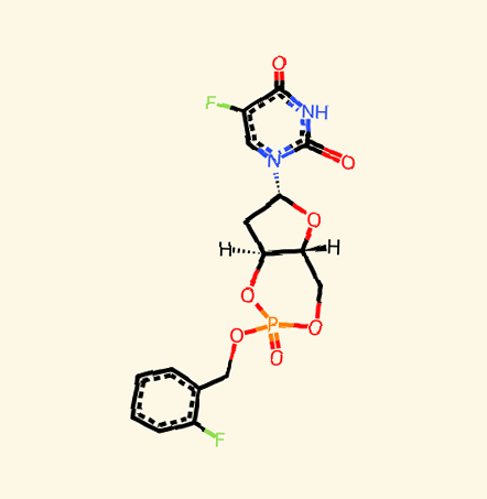 O=c1[nH]c(=O)n([C@H]2C[C@@H]3OP(=O)(OCc4ccccc4F)OC[C@H]3O2)cc1F